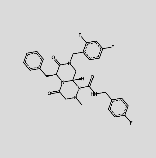 CN1CC(=O)N2[C@@H](Cc3ccccc3)C(=O)N(Cc3ccc(F)cc3F)C[C@@H]2N1C(=O)NCc1ccc(F)cc1